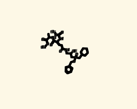 CC(NC(=O)C(CCC(=O)NCC(O)CP(=O)(CC1CCCCC1)OCc1ccccc1)NC(=O)OC(C)(C)C)C(=O)OC(C)(C)C